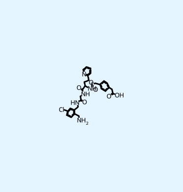 NCc1ccc(Cl)cc1CNC(=O)CNC(=O)C(CCc1ccccn1)NS(=O)(=O)Cc1ccc(CC(=O)O)cc1